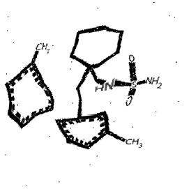 Cc1cccc(CC2(NS(N)(=O)=O)CCCCC2)c1.Cc1ccccc1